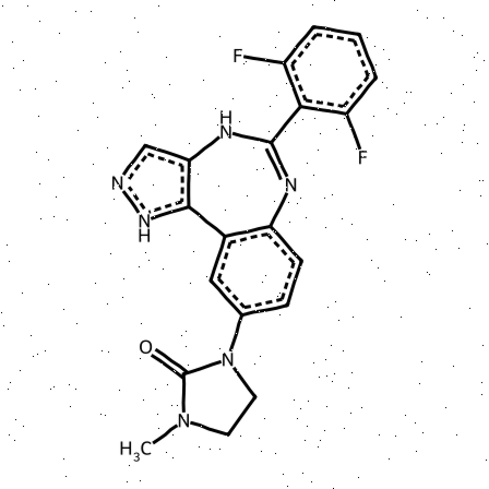 CN1CCN(c2ccc3c(c2)-c2[nH]ncc2NC(c2c(F)cccc2F)=N3)C1=O